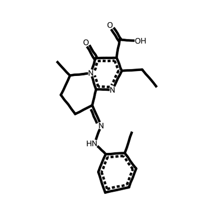 CCc1nc2n(c(=O)c1C(=O)O)C(C)CCC2=NNc1ccccc1C